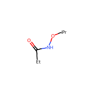 CCC(=O)NOC(C)C